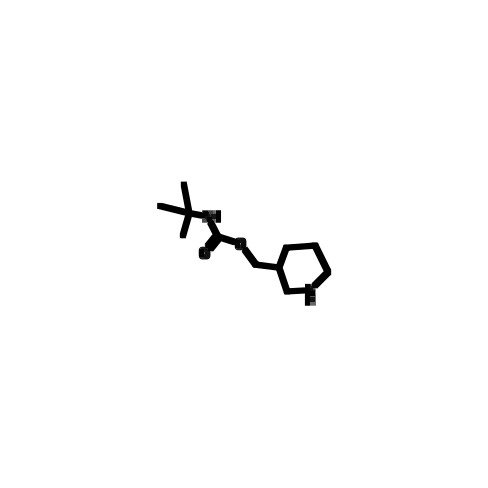 CC(C)(C)NC(=O)OCC1CCCNC1